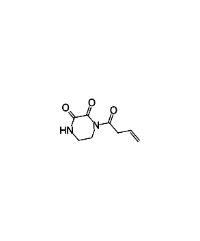 C=CCC(=O)N1CCNC(=O)C1=O